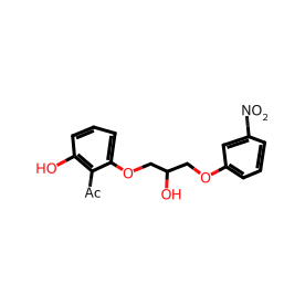 CC(=O)c1c(O)cccc1OCC(O)COc1cccc([N+](=O)[O-])c1